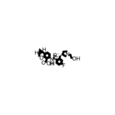 O=C(O)c1c(N[S+]([O-])c2ccc(F)cc2C[C@@H]2CCN(CCO)C2)ccc2c1OC[C@@H]1C[C@H]21